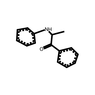 C[C](Nc1ccccc1)C(=O)c1ccccc1